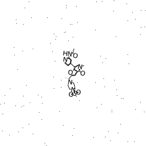 CC(=O)Nc1cc(-c2cn(C)c(=O)c3cc([C@@H](C)N4CCN(S(C)(=O)=O)CC4)oc23)ccn1